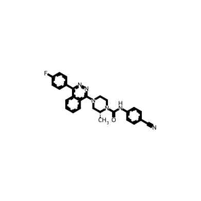 C[C@@H]1CN(c2nnc(-c3ccc(F)cc3)c3ccccc23)CCN1C(=O)Nc1ccc(C#N)cc1